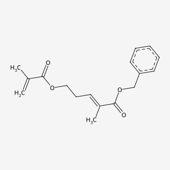 C=C(C)C(=O)OCCC=C(C)C(=O)OCc1ccccc1